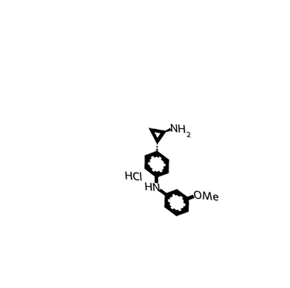 COc1cccc(Nc2ccc([C@@H]3C[C@H]3N)cc2)c1.Cl